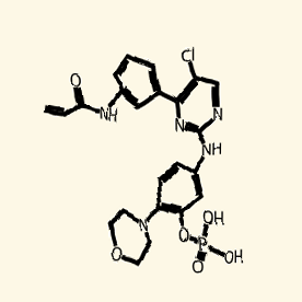 C=CC(=O)Nc1cccc(-c2nc(Nc3ccc(N4CCOCC4)c(OP(=O)(O)O)c3)ncc2Cl)c1